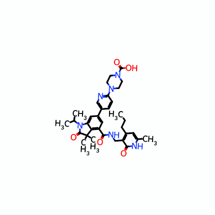 CCCc1cc(C)[nH]c(=O)c1CNC(=O)c1cc(-c2ccc(N3CCN(C(=O)O)CC3)nc2)cc2c1C(C)(C)C(=O)N2C(C)C